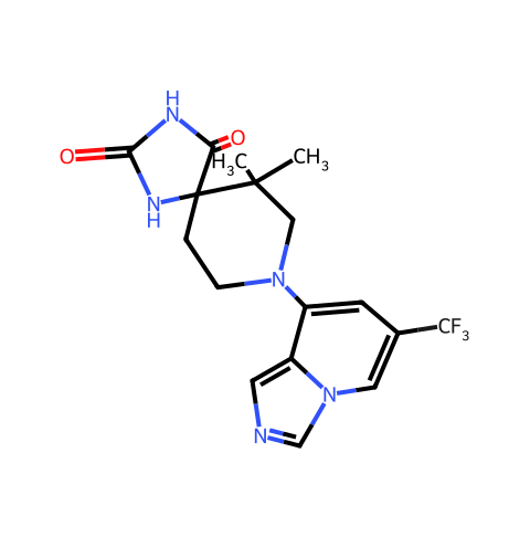 CC1(C)CN(c2cc(C(F)(F)F)cn3cncc23)CCC12NC(=O)NC2=O